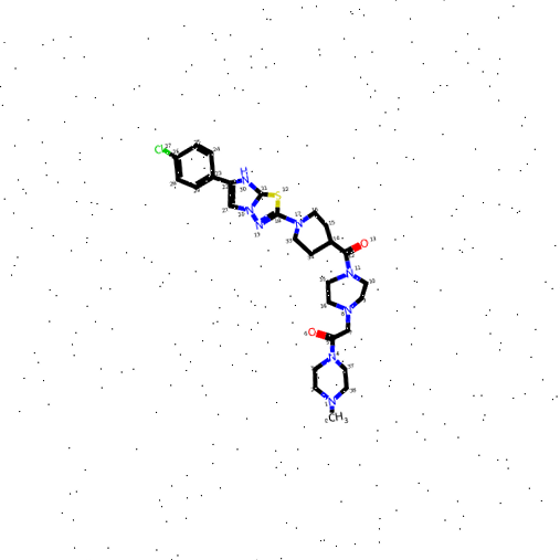 CN1CCN(C(=O)CN2CCN(C(=O)C3CCN(C4=NN5C=C(c6ccc(Cl)cc6)NC5S4)CC3)CC2)CC1